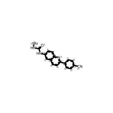 CC(C)(C)NC(=O)Nc1ccc2nc(-c3ccc(C#N)cc3)ccc2c1